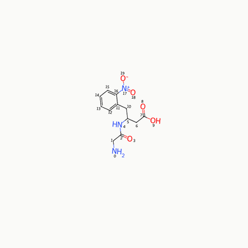 NCC(=O)NC(CC(=O)O)Cc1ccccc1[N+](=O)[O-]